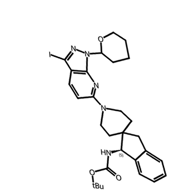 CC(C)(C)OC(=O)N[C@@H]1c2ccccc2CC12CCN(c1ccc3c(I)nn(C4CCCCO4)c3n1)CC2